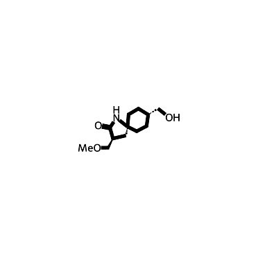 COC[C@@H]1C[C@]2(CC[C@@H](CO)CC2)NC1=O